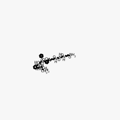 Cc1c(OCCCC(=O)NCC(=O)NCC(=O)NCCCC(N)=O)cccc1C(=O)N[C@@H](CSc1ccccc1)[C@H](O)CN1C[C@H]2CCCC[C@H]2C[C@H]1C(=O)NC(C)(C)C